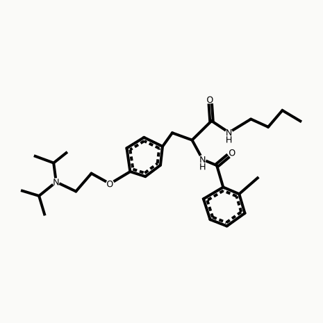 CCCCNC(=O)C(Cc1ccc(OCCN(C(C)C)C(C)C)cc1)NC(=O)c1ccccc1C